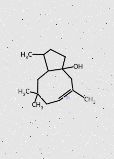 C/C1=C/CC(C)(C)CC2C(C)CCC2(O)C1